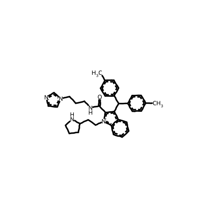 Cc1ccc(C(c2ccc(C)cc2)c2c(C(=O)NCCCn3ccnc3)n(CCC3CCCN3)c3ccccc23)cc1